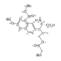 CCC(C)CC(=O)OCC(C)C(c1ccc(OC(=O)OC(C)CC)c(OC(=O)OC(C)CC)c1)[C@H](N)C(=O)O